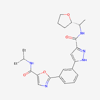 CCC(CC)NC(=O)c1cnc(-c2cccc(-c3cc(C(=O)NC(C)[C@@H]4CCCO4)n[nH]3)c2)o1